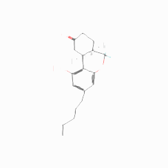 CCCCCc1cc(O)c2c(c1)OC(F)(F)[C@@H]1CCC(=O)C[C@H]21